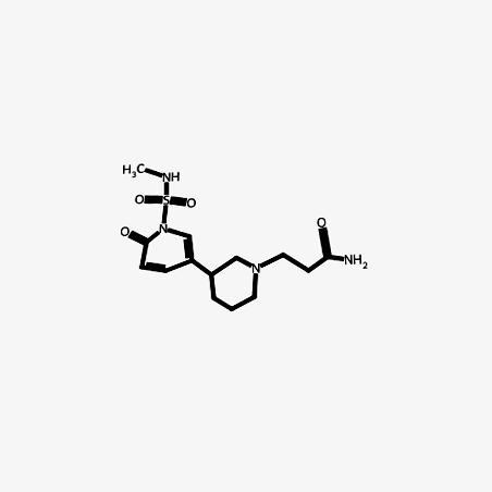 CNS(=O)(=O)n1cc(C2CCCN(CCC(N)=O)C2)ccc1=O